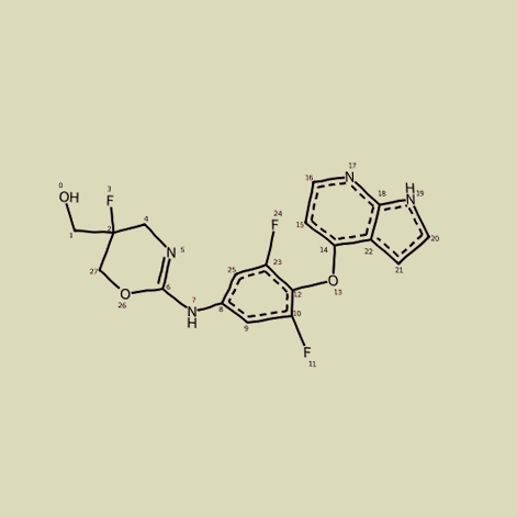 OCC1(F)CN=C(Nc2cc(F)c(Oc3ccnc4[nH]ccc34)c(F)c2)OC1